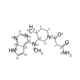 CC1CCN(C(=O)CC(N)=O)CC1N(C)c1ncnc2[nH]ccc12